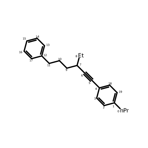 CCCc1ccc(C#CC(CC)CCCc2ccccc2)cc1